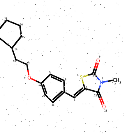 CN1C(=O)S/C(=C\c2ccc(OCCC3CCCCC3)cc2)C1=O